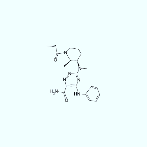 C=CC(=O)N1CCC[C@@H](N(C)c2nnc(C(N)=O)c(Nc3ccccc3)n2)[C@H]1C